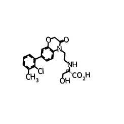 Cc1cccc(-c2ccc3c(c2)OCC(=O)N3CCN[C@@H](CO)C(=O)O)c1Cl